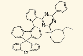 CCC1CCCCC(C)(c2nc(C3=CC=CCC3)nc(-c3ccccc3-c3cccc4c3-c3ccccc3C43c4ccccc4Oc4ccccc43)n2)C1